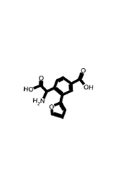 NC(C(=O)O)c1ccc(C(=O)O)cc1-c1ccco1